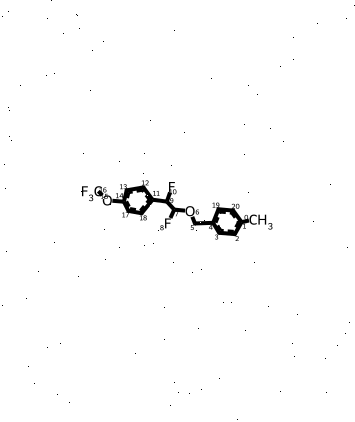 Cc1ccc(COC(F)C(F)c2ccc(OC(F)(F)F)cc2)cc1